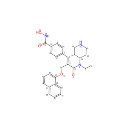 CCN(C(=O)/C(=C/c1ccc(C(=O)NO)cc1)COc1cccc2ccccc12)C1CCNCC1